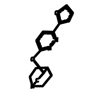 c1coc(-c2ccc(OC3CN4CCC3CC4)nn2)c1